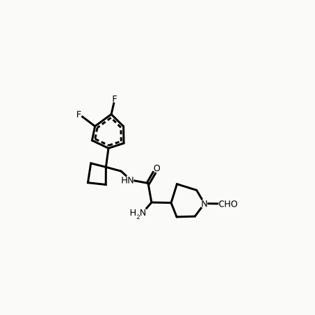 NC(C(=O)NCC1(c2ccc(F)c(F)c2)CCC1)C1CCN(C=O)CC1